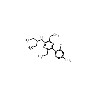 CCc1nc(-c2ccc(C)cc2Cl)c(CC)nc1NC(CC)CC